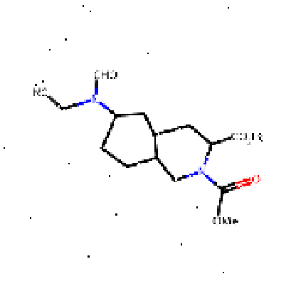 CCOC(=O)C1CC2CC(N(C=O)CC#N)CCC2CN1C(=O)OC